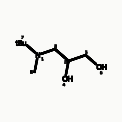 CN(CC(O)CO)C(C)(C)C